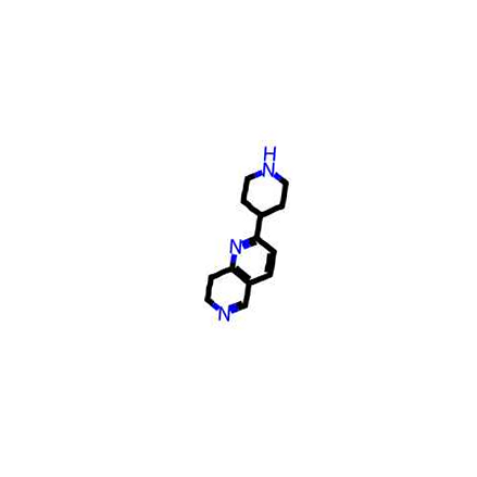 C1=NCCc2nc(C3CCNCC3)ccc21